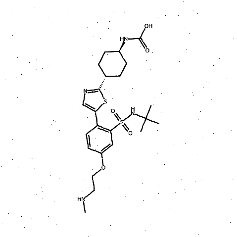 CNCCOc1ccc(-c2cnc([C@H]3CC[C@H](NC(=O)O)CC3)s2)c(S(=O)(=O)NC(C)(C)C)c1